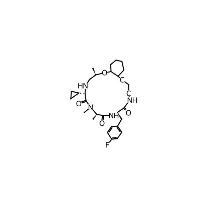 C[C@@H]1CN[C@@H](C2CC2)C(=O)N(C)[C@H](C)C(=O)N[C@H](Cc2ccc(F)cc2)C(=O)NCCCC2CCCCC2O1